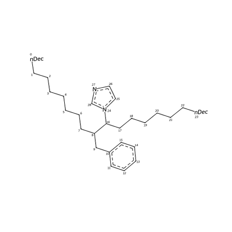 CCCCCCCCCCCCCCCCCC(Cc1ccccc1)C(CCCCCCCCCCCCCCCC)n1ccnc1